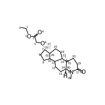 CCOC(=O)CO[C@H]1CCC2C3CC[C@H]4N(C)C(=O)CC[C@]4(C)C3CC[C@@]21C